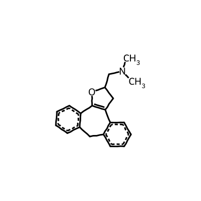 CN(C)CC1CC2=C(O1)c1ccccc1Cc1ccccc12